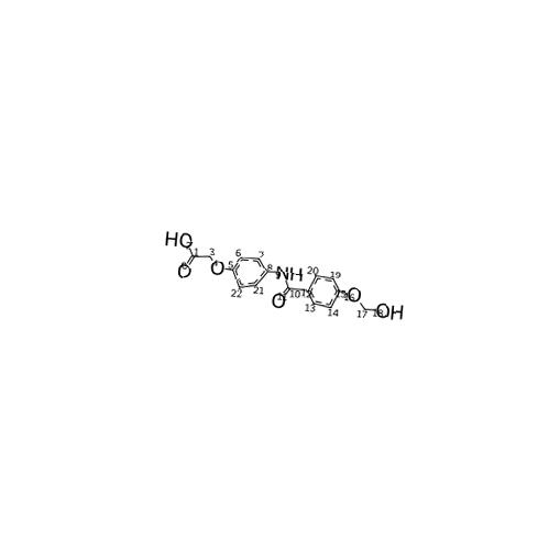 O=C(O)COc1ccc(NC(=O)c2ccc(OCO)cc2)cc1